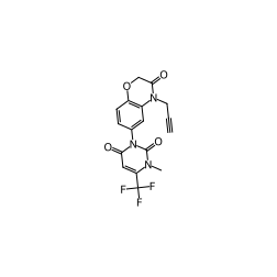 C#CCN1C(=O)COc2ccc(-n3c(=O)cc(C(F)(F)F)n(C)c3=O)cc21